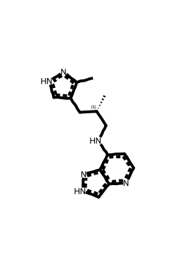 Cc1n[nH]cc1C[C@H](C)CNc1ccnc2c[nH]nc12